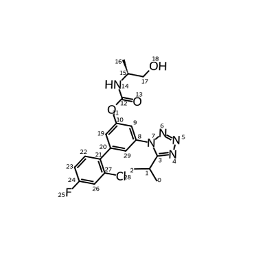 CC(C)c1nnnn1-c1cc(OC(=O)N[C@@H](C)CO)cc(-c2ccc(F)cc2Cl)c1